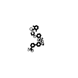 COc1ccc(-c2cccc(C(=O)N(C)C)c2)cc1S(=O)(=O)N(C)c1cccc(O[C@H]2CCN(C(=O)c3c(C)cccc3C)C2)c1